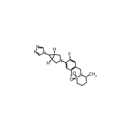 C[C@H]1CCCS(=O)(=O)N1Cc1cc(F)c(N2C[C@@H]3C(n4cnnc4)[C@@H]3C2)cc1F